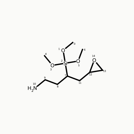 CO[Si](OC)(OC)C(CCN)CC1CO1